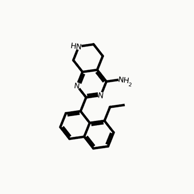 CCc1cccc2cccc(-c3nc(N)c4c(n3)CNCC4)c12